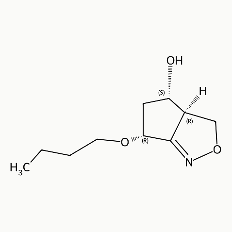 CCCCO[C@@H]1C[C@H](O)[C@H]2CON=C12